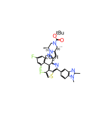 Cc1nc2cc(-c3nc(-c4cc5n(n4)[C@@H](C)CN(C(=O)OC(C)(C)C)[C@@H]5C)c(-c4c(F)cc(F)cc4C(=O)O)c4c(F)csc34)ccc2n1C